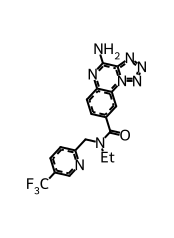 CCN(Cc1ccc(C(F)(F)F)cn1)C(=O)c1ccc2nc(N)c3nnnn3c2c1